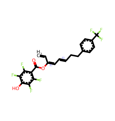 C=C/C(=C\C=C\CCc1ccc(C(F)(F)F)cc1)OC(=O)c1c(F)c(F)c(O)c(F)c1F